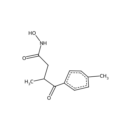 Cc1ccc(C(=O)C(C)CC(=O)NO)cc1